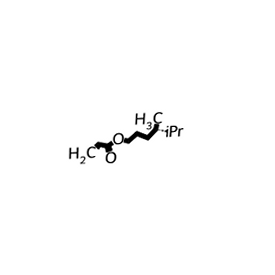 C=CC(=O)OCCC[C@H](C)C(C)C